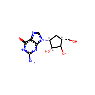 Nc1nc2c(ncn2[C@@H]2C[C@H](CO)C(O)[C@@H]2O)c(=O)[nH]1